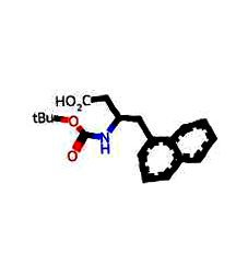 CC(C)(C)OC(=O)NC(CC(=O)O)Cc1cccc2ccccc12